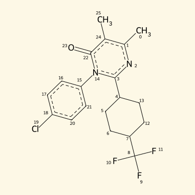 Cc1nc(C2CCC(C(F)(F)F)CC2)n(-c2ccc(Cl)cc2)c(=O)c1C